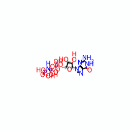 Nc1nc2c(ncn2[C@@H]2O[C@H](COP(=O)(O)OP(=O)(O)NP(=O)(O)O)[C@@H](O)C2O)c(=O)[nH]1